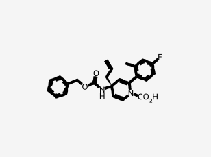 C=CC[C@]1(NC(=O)OCc2ccccc2)C=CN(C(=O)O)C(c2ccc(F)cc2C)=C1